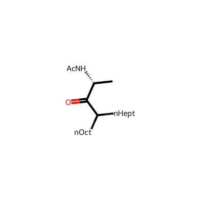 CCCCCCCCC(CCCCCCC)C(=O)[C@@H](C)NC(C)=O